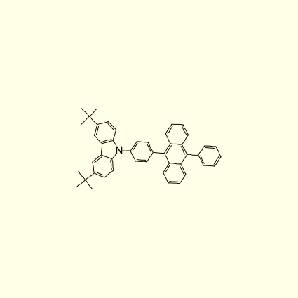 CC(C)(C)c1ccc2c(c1)c1cc(C(C)(C)C)ccc1n2-c1ccc(-c2c3ccccc3c(-c3ccccc3)c3ccccc23)cc1